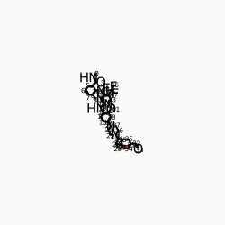 CNC(=O)c1cccc(C)c1Nc1nc(Nc2ccc(N3CCN(C4C5CC6CC4CC(C=O)(C6)C5)CC3)cc2OC)ncc1C(F)(F)F